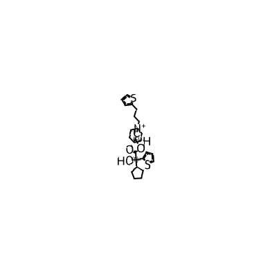 O=C(O[C@@H]1C[N+]2(CCCc3cccs3)CCC1CC2)[C@](O)(c1cccs1)C1CCCC1